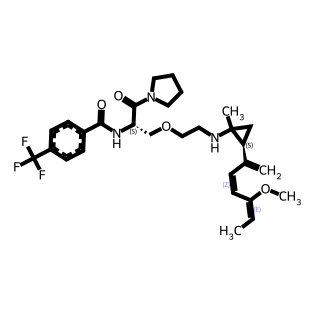 C=C(/C=C\C(=C/C)OC)[C@@H]1CC1(C)NCCOC[C@H](NC(=O)c1ccc(C(F)(F)F)cc1)C(=O)N1CCCC1